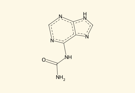 NC(=O)Nc1ncnc2[nH]cnc12